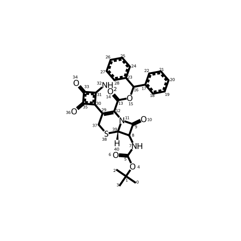 CC(C)(C)OC(=O)NC1C(=O)N2C(C(=O)OC(c3ccccc3)c3ccccc3)=C(c3c(N)c(=O)c3=O)CS[C@@H]12